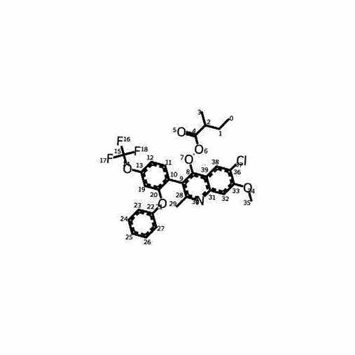 CCC(C)C(=O)OOc1c(-c2ccc(OC(F)(F)F)cc2Oc2ccccc2)c(C)nc2cc(OC)c(Cl)cc12